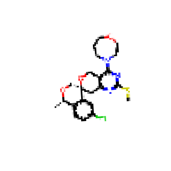 CSc1nc2c(c(N3CCCOCC3)n1)CO[C@@]1(CO[C@@H](C)c3ccc(Cl)cc31)C2